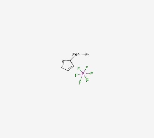 C[CH](C)[Fe+][CH]1C=CC=C1.F[P-](F)(F)(F)(F)F